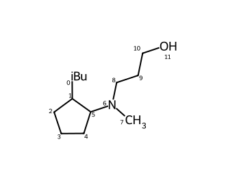 CCC(C)C1CCCC1N(C)CCCO